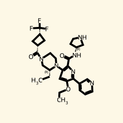 CCOc1cc(N2CCN(C(=O)[C@H]3C[C@@H](C(F)(F)F)C3)C[C@H]2CC)c(C(=O)N[C@@H]2CCNC2)nc1-c1cccnc1